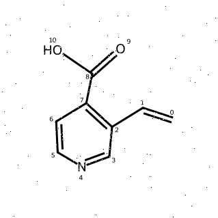 C=Cc1cnccc1C(=O)O